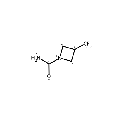 NC(=O)N1CC(C(F)(F)F)C1